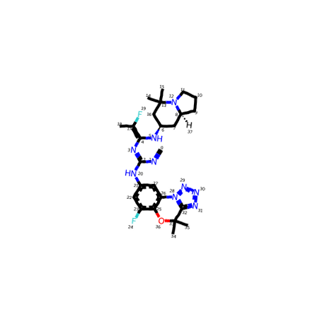 C=N/C(=N\C(N[C@@H]1C[C@@H]2CCCN2C(C)(C)C1)=C(/C)F)Nc1cc(F)c2c(c1)-n1nnnc1C(C)(C)O2